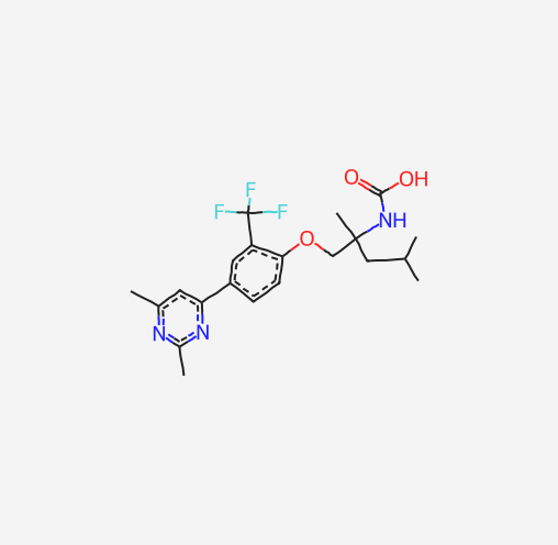 Cc1cc(-c2ccc(OCC(C)(CC(C)C)NC(=O)O)c(C(F)(F)F)c2)nc(C)n1